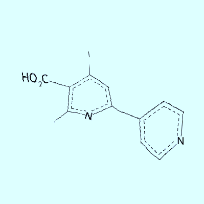 Cc1cc(-c2ccncc2)nc(C)c1C(=O)O